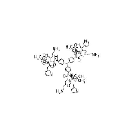 CC(C)(C)OC(=O)N(C(=O)Cc1cccnc1)[C@@H](CCCCN)C(=O)Nc1ccc(C(c2ccc(NC(=O)[C@H](CCCCN)N(C(=O)Cc3cccnc3)C(=O)OC(C)(C)C)cc2)c2ccc(NC(=O)[C@H](CCCCN)N(C(=O)Cc3cccnc3)C(=O)OC(C)(C)C)cc2)cc1